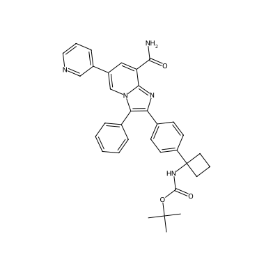 CC(C)(C)OC(=O)NC1(c2ccc(-c3nc4c(C(N)=O)cc(-c5cccnc5)cn4c3-c3ccccc3)cc2)CCC1